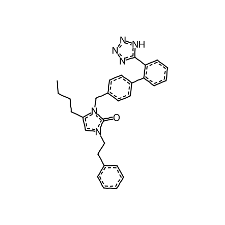 CCCCc1cn(CCc2ccccc2)c(=O)n1Cc1ccc(-c2ccccc2-c2nnn[nH]2)cc1